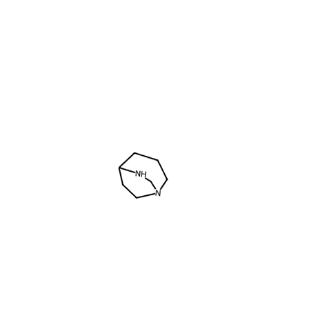 C1CC2CCN(C1)CN2